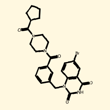 O=C(c1cccc(Cn2c(=O)[nH]c(=O)c3cc(Br)ccc32)c1)N1CCN(C(=O)C2CCCC2)CC1